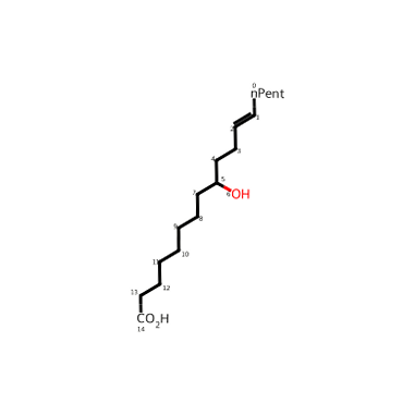 CCCCCC=CCCC(O)CCCCCCCC(=O)O